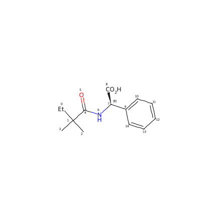 CCC(C)(C)C(=O)N[C@@H](C(=O)O)c1ccccc1